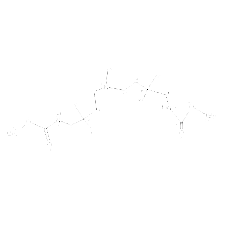 CN(CCC(C)(C)CNC(=O)OC(C)(C)C)CCC(C)(C)CNC(=O)OC(C)(C)C